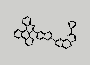 c1ccc(-c2ccc3ccc4ccc(-c5ccc6cc(-c7nc8ccccc8c8c9ccccc9c9ccccc9c78)ccc6c5)nc4c3n2)cc1